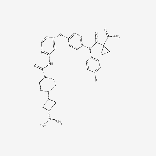 CN(C)C1CN(C2CCN(C(=O)Nc3cc(Oc4ccc(N(C(=O)C5(C(N)=O)CC5)c5ccc(F)cc5)cc4)ccn3)CC2)C1